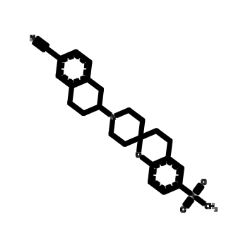 CS(=O)(=O)c1ccc2c(c1)CCC1(CCN(C3CCc4cc(C#N)ccc4C3)CC1)O2